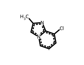 Cc1cn2c[c]cc(Cl)c2n1